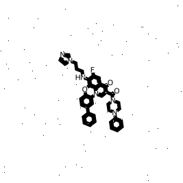 O=C(c1cn2c3c(c(NCCCn4ccnc4)c(F)cc3c1=O)Oc1ccc(-c3ccccc3)cc1-2)N1CCN(c2ccccc2)CC1